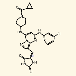 O=C1NC(=O)/C(=C\c2cnn3c(NC4CCN(C(=O)C5CC5)CC4)cc(Nc4cccc(Cl)c4)nc23)N1